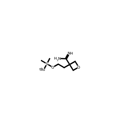 CC(C)(C)[Si](C)(C)OCCC1(C(=N)N)COC1